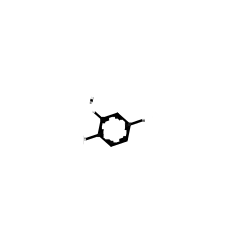 CC(C)c1ccc(Cl)c(SC(F)(F)F)c1